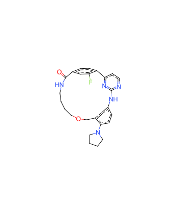 O=C1NCCCCOCc2cc(ccc2N2CCCC2)Nc2nccc(n2)-c2ccc1cc2F